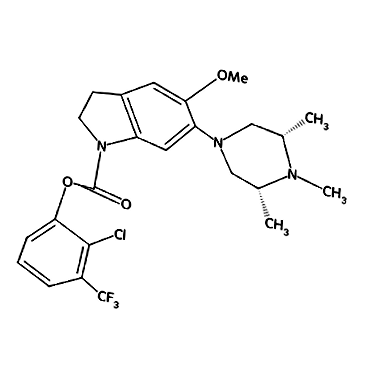 COc1cc2c(cc1N1C[C@@H](C)N(C)[C@@H](C)C1)N(C(=O)Oc1cccc(C(F)(F)F)c1Cl)CC2